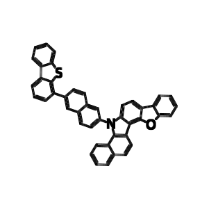 c1ccc2c(c1)ccc1c3c4oc5ccccc5c4ccc3n(-c3ccc4cc(-c5cccc6c5sc5ccccc56)ccc4c3)c21